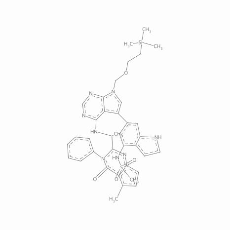 Cc1ccn2nc(C(C)Nc3ncnc4c3c(-c3cc(NS(C)(=O)=O)c5cc[nH]c5c3)cn4COCC[Si](C)(C)C)n(-c3ccccc3)c(=O)c12